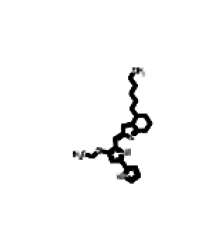 CCCCCCC1CCCC2=N/C(=C\c3[nH]c(-c4ccc[nH]4)cc3OCC)C=C21